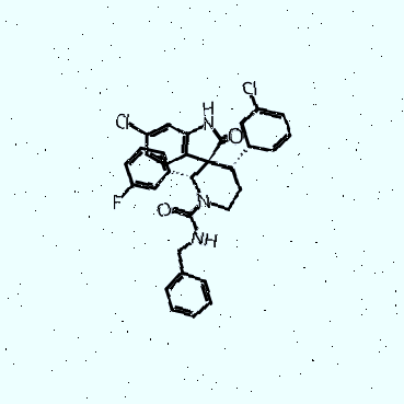 O=C(NCc1ccccc1)N1CC[C@@H](C2C=CC=C(Cl)C2)[C@]2(C(=O)Nc3cc(Cl)ccc32)[C@H]1c1cccc(F)c1